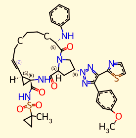 COc1ccc(-c2nn([C@@H]3C[C@H]4C(=O)N[C@]5(C(=O)NS(=O)(=O)C6(C)CC6)C[C@H]5/C=C\CCCCC[C@H](Nc5ccccc5)C(=O)N4C3)nc2-c2nccs2)cc1